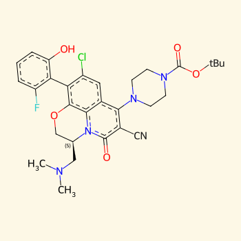 CN(C)C[C@H]1COc2c(-c3c(O)cccc3F)c(Cl)cc3c(N4CCN(C(=O)OC(C)(C)C)CC4)c(C#N)c(=O)n1c23